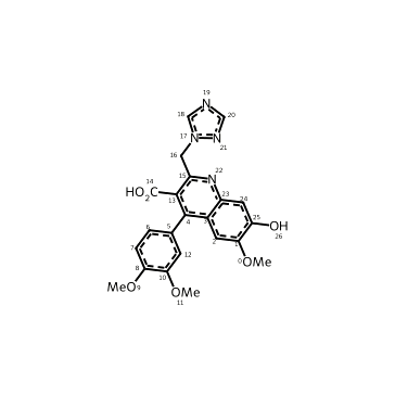 COc1cc2c(-c3ccc(OC)c(OC)c3)c(C(=O)O)c(Cn3cncn3)nc2cc1O